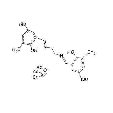 CC(=O)[O-].CC(=O)[O-].Cc1cc(C(C)(C)C)cc(C=NCCN=Cc2cc(C(C)(C)C)cc(C)c2O)c1O.[Co+2]